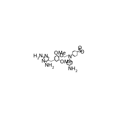 COc1cc(Cc2cnc(N)nc2N)cc(OC)c1OCCN(C1=CCC(=S(=O)=O)C=C1)c1ccc(N)cc1